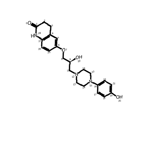 O=C1CCc2cc(OC[C@@H](O)CN3CCN(c4ccc(O)cc4)CC3)ccc2N1